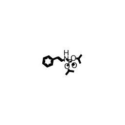 CC(C)OP(=O)(N/C=C/c1ccccc1)OC(C)C